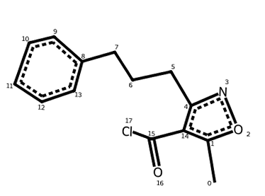 Cc1onc(CCCc2ccccc2)c1C(=O)Cl